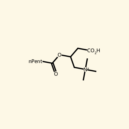 CCCCCC(=O)OC(CC(=O)O)C[N+](C)(C)C